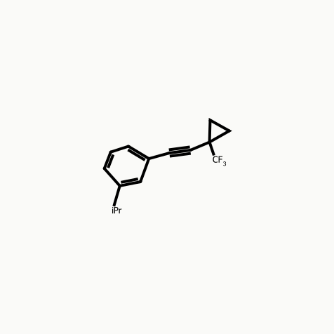 CC(C)c1cccc(C#CC2(C(F)(F)F)CC2)c1